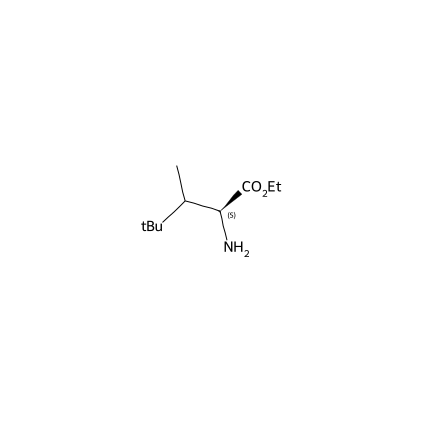 CCOC(=O)[C@@H](N)C(C)C(C)(C)C